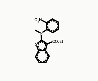 CCOC(=O)c1c(N(C)c2ccccc2[N+](=O)[O-])sc2ccccc12